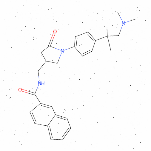 CN(C)CC(C)(C)c1ccc(N2CC(CNC(=O)c3ccc4ccccc4c3)CC2=O)cc1